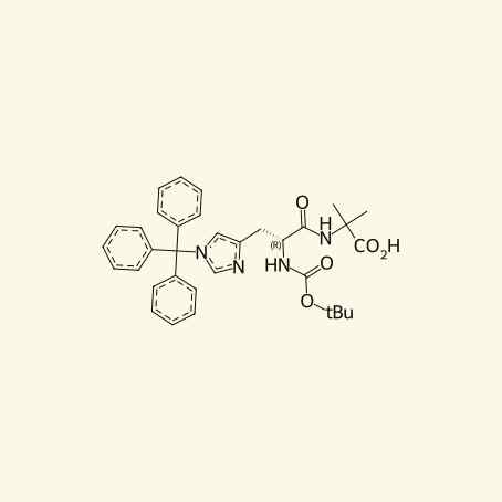 CC(C)(C)OC(=O)N[C@H](Cc1cn(C(c2ccccc2)(c2ccccc2)c2ccccc2)cn1)C(=O)NC(C)(C)C(=O)O